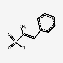 C/C(=C\c1ccccc1)S(=O)(=O)Cl